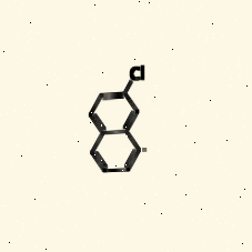 Clc1ccc2ccc[c]c2c1